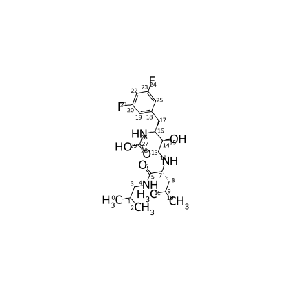 CC(C)CNC(=O)[C@@H](CC(C)C)NC[C@H](O)[C@H](Cc1cc(F)cc(F)c1)NC(=O)O